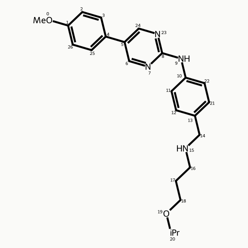 COc1ccc(-c2cnc(Nc3ccc(CNCCCOC(C)C)cc3)nc2)cc1